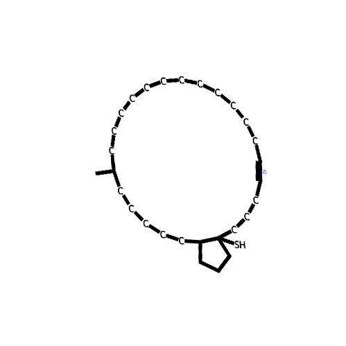 CC1CCCCCCCCCCCC/C=C\CCCC2(S)CCCC2CCCCC1